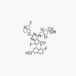 C#Cc1c(F)ccc2cc(O)cc(-c3ccc4c(N5C[C@@H]6C[C@@](C)(O)C[C@@H]6C5)nc(OC[C@@]56CCCN5C[C@H](F)C6)nc4c3F)c12